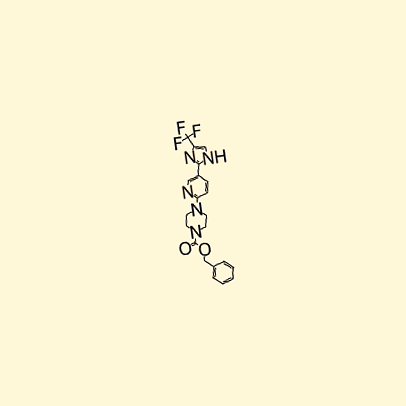 O=C(OCc1ccccc1)N1CCN(c2ccc(-c3nc(C(F)(F)F)c[nH]3)cn2)CC1